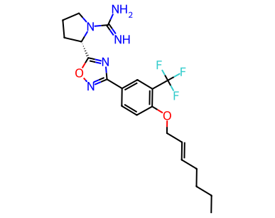 CCCC/C=C/COc1ccc(-c2noc([C@@H]3CCCN3C(=N)N)n2)cc1C(F)(F)F